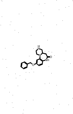 O=C1CC2CNCCN2c2cc(OCc3ccccc3)ccc2N1